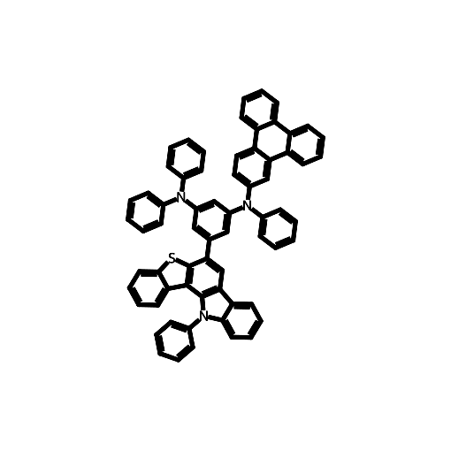 c1ccc(N(c2ccccc2)c2cc(-c3cc4c5ccccc5n(-c5ccccc5)c4c4c3sc3ccccc34)cc(N(c3ccccc3)c3ccc4c5ccccc5c5ccccc5c4c3)c2)cc1